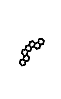 c1ccc2c(c1)ccc1c3cc4c(ccc5c6ccccc6ccc45)cc3ccc21